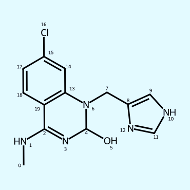 CNC1=NC(O)N(Cc2c[nH]cn2)c2cc(Cl)ccc21